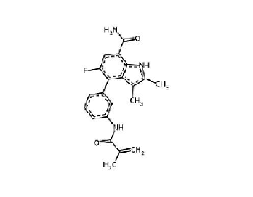 C=C(C)C(=O)Nc1cccc(-c2c(F)cc(C(N)=O)c3[nH]c(C)c(C)c23)c1